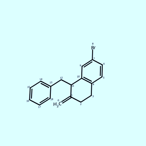 C=C1CCc2ccc(Br)cc2C1Cc1ccccc1